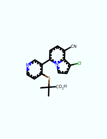 CC(C)(Sc1ccncc1-c1ccc(C#N)c2c(Cl)ccn12)C(=O)O